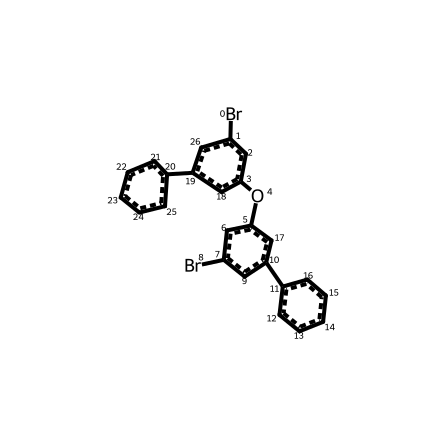 Brc1cc(Oc2cc(Br)cc(-c3ccccc3)c2)cc(-c2ccccc2)c1